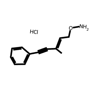 CC(C#Cc1ccccc1)=CCON.Cl